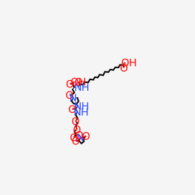 O=C(O)CCCCCCCCCCCCCCCCC(=O)N[C@@H](CCC(=O)N1CCC(NC(=O)NCCOCCOCC(=O)ON2C(=O)CCC2=O)CC1)C(=O)O